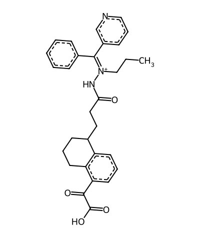 CCC[N+](NC(=O)CCC1CCCc2c(C(=O)C(=O)O)cccc21)=C(c1ccccc1)c1cccnc1